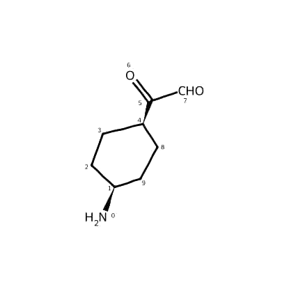 N[C@H]1CC[C@@H](C(=O)C=O)CC1